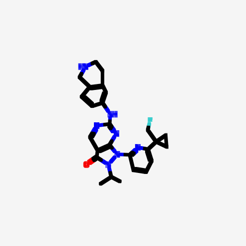 CC(C)n1c(=O)c2cnc(Nc3ccc4c(c3)CCNC4)nc2n1-c1cccc(C2(CF)CC2)n1